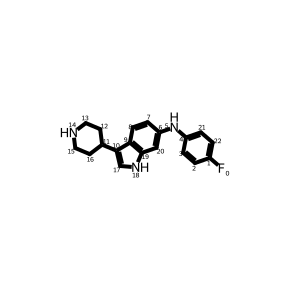 Fc1ccc(Nc2ccc3c(C4CCNCC4)c[nH]c3c2)cc1